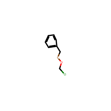 ClCOSCc1ccccc1